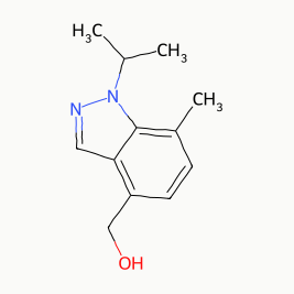 Cc1ccc(CO)c2cnn(C(C)C)c12